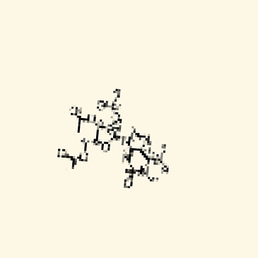 CC(=O)OC[C@H]1O[C@@H](n2cnc3c(N(C)C)n(C)c(=O)nc32)[C@H](OC(C)=O)[C@@H]1OC(C)=O